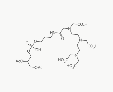 CC(=O)OC[C@H](COP(=O)(O)OCCCNC(=O)CN(CCN(CCN(CC(=O)O)CC(=O)O)CC(=O)O)CC(=O)O)OC(C)=O